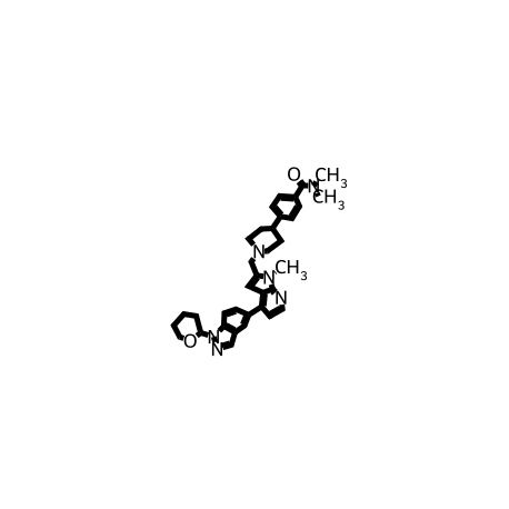 CN(C)C(=O)c1ccc(C2CCN(Cc3cc4c(-c5ccc6c(cnn6C6CCCCO6)c5)ccnc4n3C)CC2)cc1